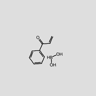 C=CC(=O)c1ccccc1.OBO